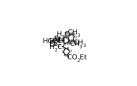 C=C(c1ccc(C(=O)OCC)cc1)c1cc2c(cc1C)C(C)(C)CCC2(C)C.CCNCC.Cl